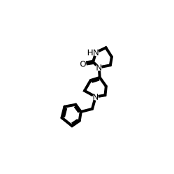 O=C1NCCCN1C1=CCN(Cc2ccccc2)CC1